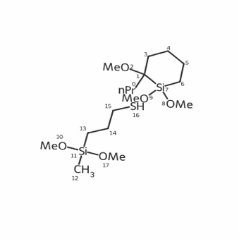 CCCC1(OC)CCCC[Si]1(OC)OC.CO[Si](C)(CCCS)OC